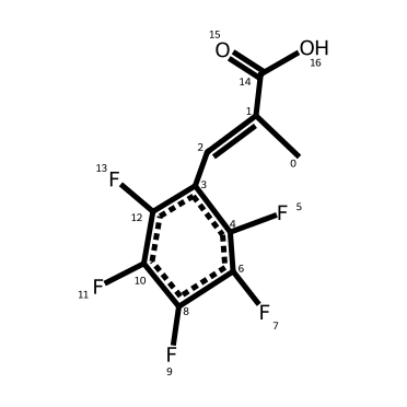 C/C(=C\c1c(F)c(F)c(F)c(F)c1F)C(=O)O